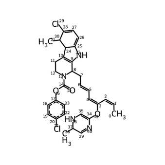 C\C=C/C(=C\C=C\CC1C2=C(CCN1C(=O)Oc1ccc(Cl)cc1)C1C(=CC=C(Cl)C1C)N2)OC1=CNC(C)C=N1